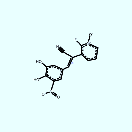 N#C/C(=C\c1cc(O)c(O)c([N+](=O)[O-])c1)c1ccc[n+]([O-])c1F